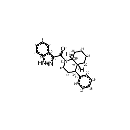 O=C(c1n[nH]c2ccccc12)N1CC[C@H](c2ccccc2)[C@H]2CCCC[C@H]21